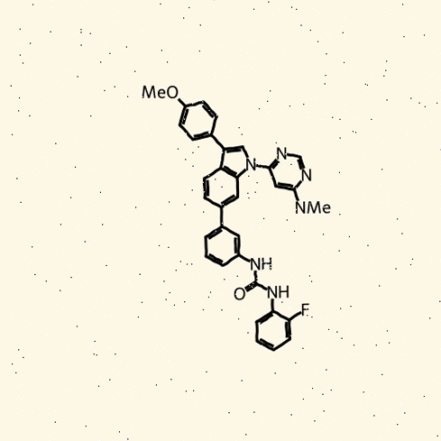 CNc1cc(-n2cc(-c3ccc(OC)cc3)c3ccc(-c4cccc(NC(=O)Nc5ccccc5F)c4)cc32)ncn1